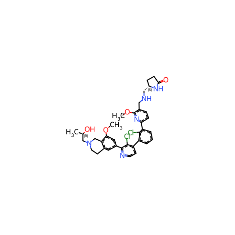 COc1cc(-c2nccc(-c3cccc(-c4ccc(CNC[C@@H]5CCC(=O)N5)c(OC)n4)c3Cl)c2Cl)cc2c1CN(C[C@@H](C)O)CC2